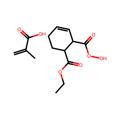 C=C(C)C(=O)O.CCOC(=O)C1CCC=CC1C(=O)OO